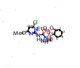 CCOC(=O)c1ccccc1S(=O)(=O)NC(=O)Nc1nc(Cl)cc(OC)n1.[NaH]